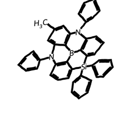 Cc1cc2c3c(c1)N(c1ccccc1)c1cccc4c1B3c1c(cccc1[Si]4(c1ccccc1)c1ccccc1)N2c1ccccc1